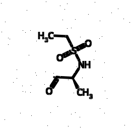 CCS(=O)(=O)N[C@@H](C)[C]=O